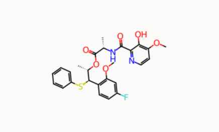 COc1cc(F)ccc1[C@@H](Sc1ccccc1)[C@H](C)OC(=O)[C@H](C)NC(=O)c1nccc(OC)c1O